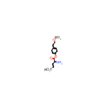 NC(CCC(=O)O)C(=O)Oc1ccc(CCO[N+](=O)[O-])cc1